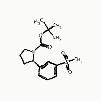 CC(C)(C)OC(=O)N1CCC[C@@H]1c1cccc(S(C)(=O)=O)c1